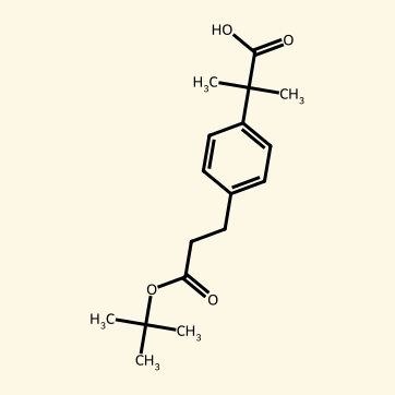 CC(C)(C)OC(=O)CCc1ccc(C(C)(C)C(=O)O)cc1